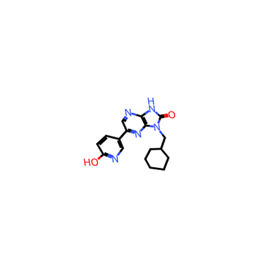 O=c1[nH]c2ncc(-c3ccc(O)nc3)nc2n1CC1CCCCC1